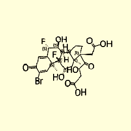 C[C@]12C=C(Br)C(=O)C=C1[C@H](F)[C@@H](O)[C@H]1[C@@H]3CC[C@](CC(=O)O)(C(=O)C(O)CC(=O)O)[C@@]3(C)C[C@H](O)[C@@]12F